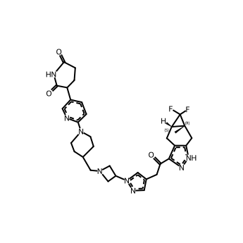 C[C@@]12Cc3[nH]nc(C(=O)Cc4cnn(C5CN(CC6CCN(c7ccc(C8CCC(=O)NC8=O)cn7)CC6)C5)c4)c3C[C@@H]1C2(F)F